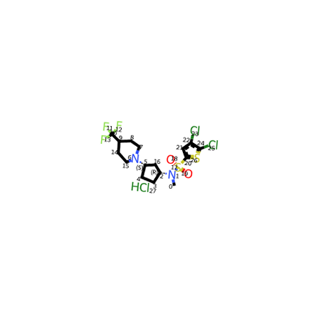 CN([C@@H]1CC[C@H](N2CCC(C(F)(F)F)CC2)C1)S(=O)(=O)c1cc(Cl)c(Cl)s1.Cl